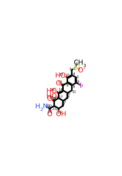 C[S+]([O-])Cc1cc(I)c2c(c1O)C(=O)C1=C(O)C3(O)C(=O)C(C(N)=O)C(O)CC3CC1C2